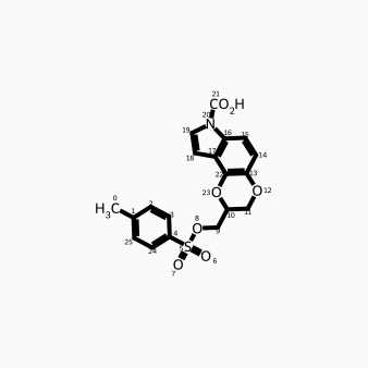 Cc1ccc(S(=O)(=O)OCC2COc3ccc4c(ccn4C(=O)O)c3O2)cc1